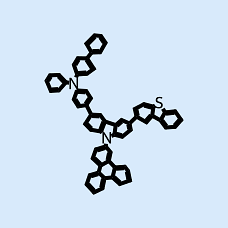 c1ccc(-c2ccc(N(c3ccccc3)c3ccc(-c4ccc5c(c4)c4cc(-c6ccc7sc8ccccc8c7c6)ccc4n5-c4ccc5c6ccccc6c6ccccc6c5c4)cc3)cc2)cc1